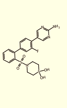 Nc1ncc(-c2ccc(-c3ccccc3S(=O)(=O)N3CCS(O)(O)CC3)cc2F)cn1